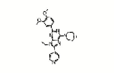 CCn1c(-c2ccncc2)nc2c(N3CCOCC3)nc(-c3ccc(OC)c(OC)c3)nc21